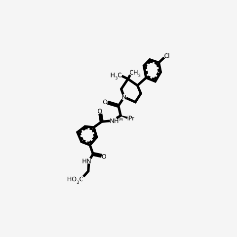 CC(C)[C@@H](NC(=O)c1cccc(C(=O)NCC(=O)O)c1)C(=O)N1CCC(c2ccc(Cl)cc2)C(C)(C)C1